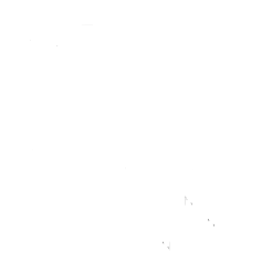 Cc1ccc(-n2ncnc2-c2cc3c(s2)-c2ccc(C(=O)O)cc2OCC3)c(F)c1